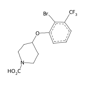 O=C(O)N1CCC(Oc2cccc(C(F)(F)F)c2Br)CC1